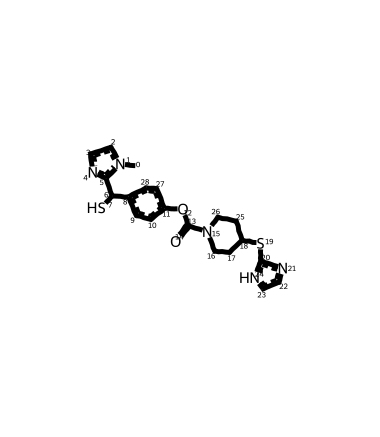 Cn1ccnc1C(S)c1ccc(OC(=O)N2CCC(Sc3ncc[nH]3)CC2)cc1